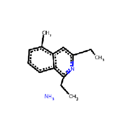 CCc1cc2c(C)cccc2c(CC)n1.N